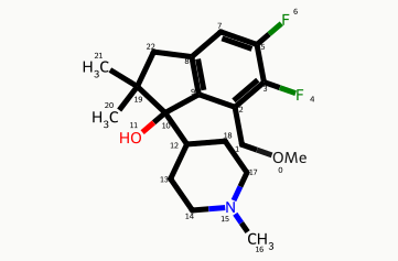 COCc1c(F)c(F)cc2c1C(O)(C1CCN(C)CC1)C(C)(C)C2